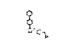 O=C(C1CC1)N1CC[C@@H](Cn2ccnc2-c2ccc(-c3ccccc3)cc2)C1